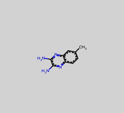 Cc1ccc2nc(N)c(N)nc2c1